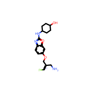 NC/C(=C/F)COc1ccc2nc(NC3CCC(O)CC3)oc2c1